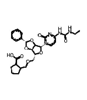 CCNC(=O)Nc1ccn([C@@H]2O[C@H](COCC3CCCC3C(=O)O)C3O[C@H](c4ccccc4)OC32)c(=O)n1